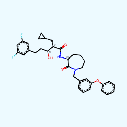 O=C(N[C@H]1CCCCN(Cc2cccc(Oc3ccccc3)c2)C1=O)[C@H](CC1CC1)[C@@H](O)CCc1cc(F)cc(F)c1